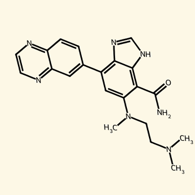 CN(C)CCN(C)c1cc(-c2ccc3nccnc3c2)c2nc[nH]c2c1C(N)=O